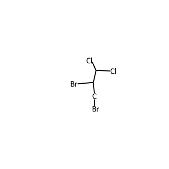 ClC(Cl)C(Br)CBr